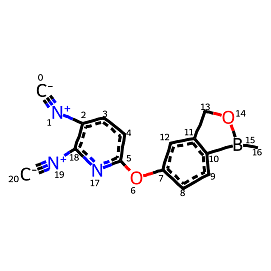 [C-]#[N+]c1ccc(Oc2ccc3c(c2)COB3C)nc1[N+]#[C-]